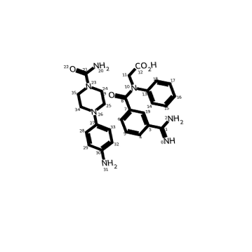 N=C(N)c1cccc(C(=O)N(CC(=O)O)c2ccccc2)c1.NC(=O)N1CCN(c2ccc(N)cc2)CC1